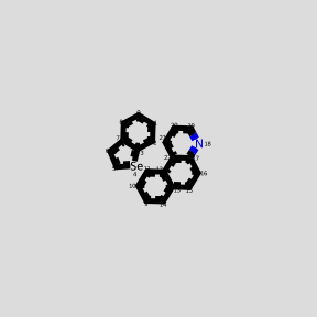 c1ccc2[se]ccc2c1.c1ccc2c(c1)ccc1ncccc12